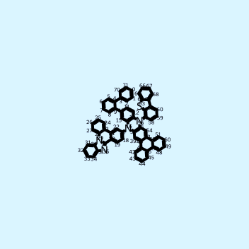 c1ccc(-c2ccccc2-c2ccc3c(c2)N(c2ccc4c(c2)c2ccccc2n2c5ccccc5nc42)c2cc4c5ccccc5c5ccccc5c4cc2N3c2cccc3c2sc2ccccc23)cc1